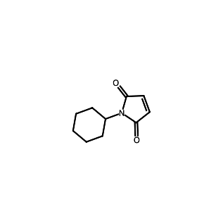 O=C1C=CC(=O)N1C1CCCCC1